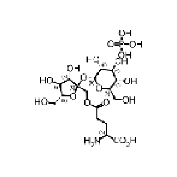 N[C@@H](CCC(=O)OC[C@@]1(O[C@H]2O[C@H](CO)[C@@H](O)[C@H](O)[C@H]2O)O[C@H](CO)[C@@H](O)[C@@H]1O)C(=O)O.O=P(O)(O)O